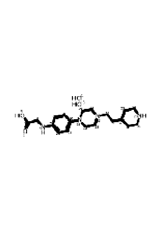 Cl.Cl.O=C(O)CNc1ccc(N2CCN(CCC3CCNCC3)CC2)cc1